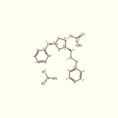 CCN(CC)CC.O=[PH](O)O[C@H]1C[C@H](Oc2ccncn2)C[C@@H]1COCc1ccccc1